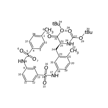 Cc1ccc(S(=O)(=O)Nc2cccc(S(=O)(=O)Nc3ccc(C)c(C[C@H](NC(=O)OC(C)(C)C)C(=O)OC(C)(C)C)c3)c2)cc1